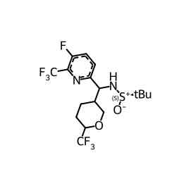 CC(C)(C)[S@@+]([O-])NC(c1ccc(F)c(C(F)(F)F)n1)C1CCC(C(F)(F)F)OC1